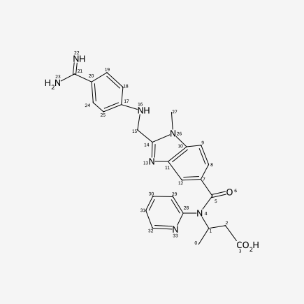 CC(CC(=O)O)N(C(=O)c1ccc2c(c1)nc(CNc1ccc(C(=N)N)cc1)n2C)c1ccccn1